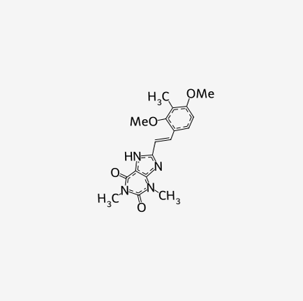 COc1ccc(/C=C/c2nc3c([nH]2)c(=O)n(C)c(=O)n3C)c(OC)c1C